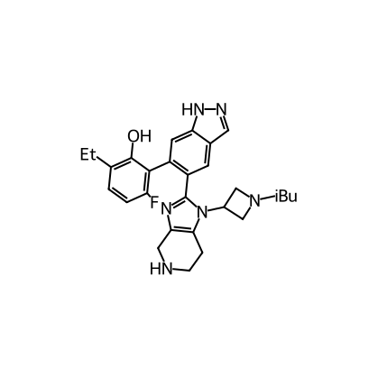 CCc1ccc(F)c(-c2cc3[nH]ncc3cc2-c2nc3c(n2C2CN(C(C)CC)C2)CCNC3)c1O